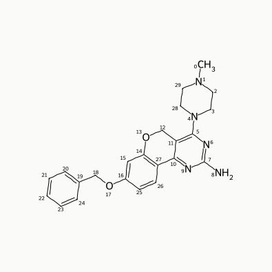 CN1CCN(c2nc(N)nc3c2COc2cc(OCc4ccccc4)ccc2-3)CC1